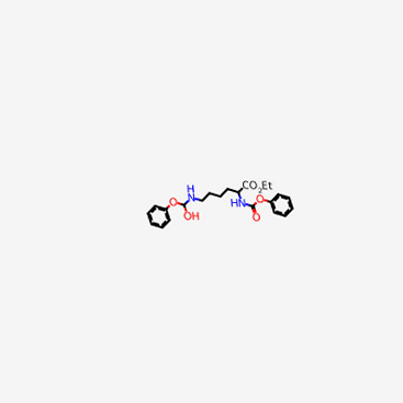 CCOC(=O)C(CCCCNC(O)Oc1ccccc1)NC(=O)Oc1ccccc1